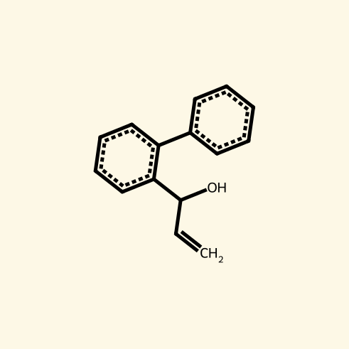 C=CC(O)c1ccccc1-c1ccccc1